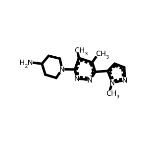 Cc1c(-c2ccnn2C)nnc(N2CCC(N)CC2)c1C